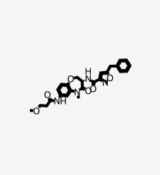 COCCC(=O)Nc1ccc2c(c1)N(C)C(=O)[C@@H](NC(=O)c1cc(Cc3ccccc3)on1)CO2